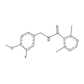 COc1ccc(CNC(=O)c2c(C)cccc2C)cc1F